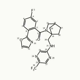 O=C(c1cc(F)ccc1-c1ncco1)N1CC2CCC1(CNc1cnc(C(F)(F)F)cn1)C2